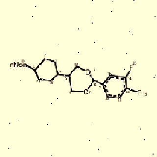 CCCCCCCCCC1CCC(C2COC(c3ccc(F)c(F)c3)OC2)CC1